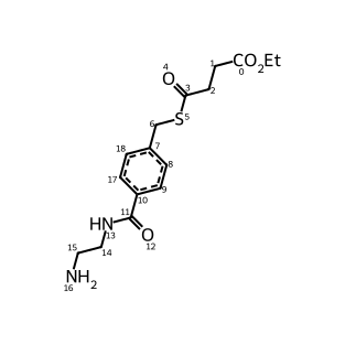 CCOC(=O)CCC(=O)SCc1ccc(C(=O)NCCN)cc1